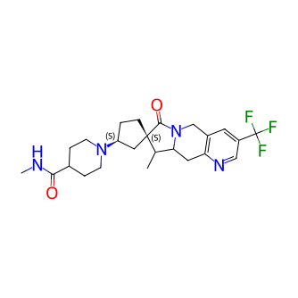 CNC(=O)C1CCN([C@H]2CC[C@@]3(C2)C(=O)N2Cc4cc(C(F)(F)F)cnc4CC2C3C)CC1